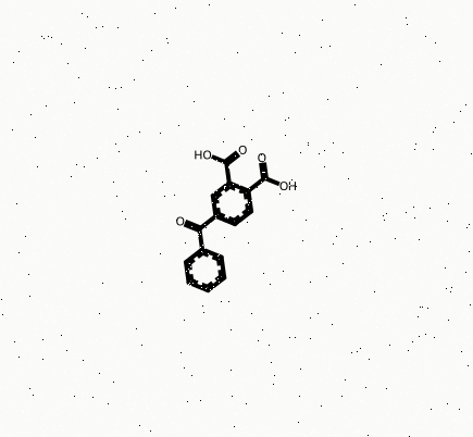 O=C(c1ccccc1)c1ccc(C(=O)O)c(C(=O)O)c1